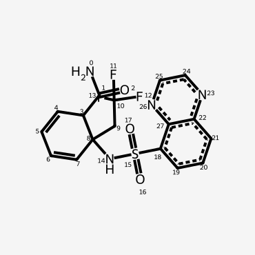 NC(=O)C1C=CC=CC1(CC(F)(F)F)NS(=O)(=O)c1cccc2nccnc12